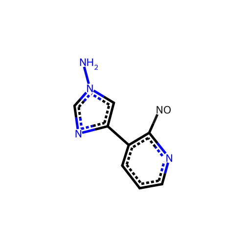 Nn1cnc(-c2cccnc2N=O)c1